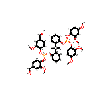 COc1ccc(OP(Oc2ccc(OC)cc2OC)Oc2ccccc2[Si](C)(C)c2ccccc2OP(Oc2ccc(C=O)cc2OC)Oc2ccc(C=O)cc2OC)c(OC)c1